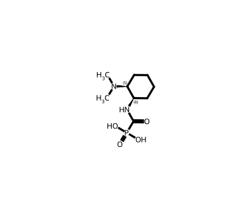 CN(C)[C@H]1CCCC[C@H]1NC(=O)P(=O)(O)O